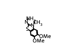 COc1cc2sc(=NN)n(C)c2cc1OC